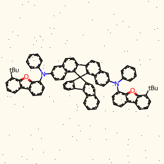 CC(C)(C)c1cccc2c1oc1c(N(c3ccccc3)c3ccc4c5c(ccc4c3)-c3ccc4cc(N(c6ccccc6)c6cccc7c6oc6c(C(C)(C)C)cccc67)ccc4c3C53c4ccccc4-c4c3ccc3ccccc43)cccc12